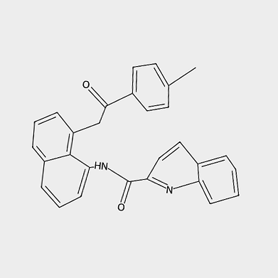 Cc1ccc(C(=O)Cc2cccc3cccc(NC(=O)c4ccc5ccccc5n4)c23)cc1